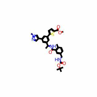 COC(=O)c1ccc(-c2cc(-c3cnn(C)c3)cc(C(C)NC(=O)c3cc(CNC(=O)OC(C)(C)C)ccc3C)c2)s1